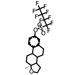 C[C@]12CCC3c4ccc(OS(=O)(=O)C(F)(F)C(F)(F)C(F)(F)C(F)(F)F)cc4CCC3C1CCO2